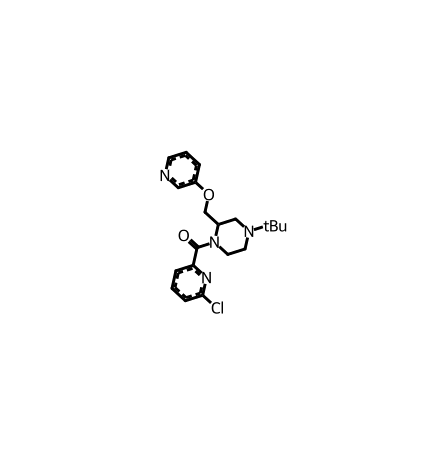 CC(C)(C)N1CCN(C(=O)c2cccc(Cl)n2)C(COc2cccnc2)C1